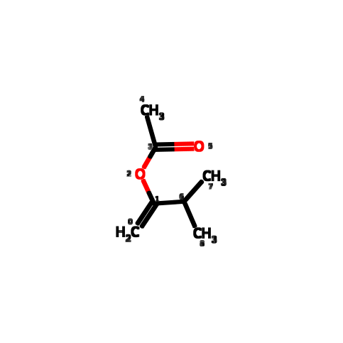 C=C(OC(C)=O)C(C)C